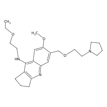 CCOCCNc1c2c(nc3cc(COCCN4CCCC4)c(OC)cc13)CCC2